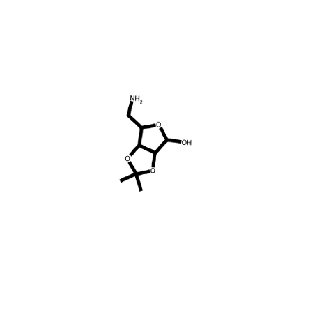 CC1(C)OC2C(O)OC(CN)C2O1